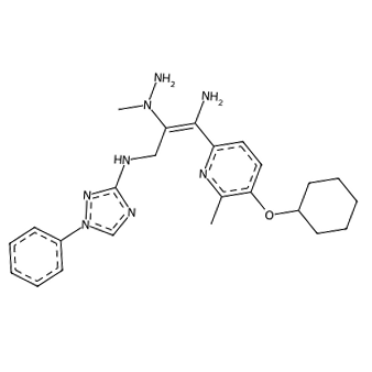 Cc1nc(/C(N)=C(\CNc2ncn(-c3ccccc3)n2)N(C)N)ccc1OC1CCCCC1